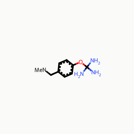 CNCc1ccc(OC(N)(N)N)cc1